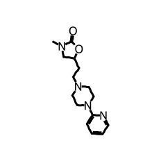 CN1CC(CCN2CCN(c3ccccn3)CC2)OC1=O